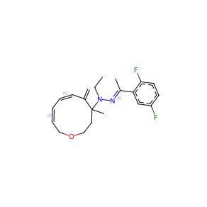 C=C1/C=C\C=C/COCCC1(C)N(CC)/N=C(\C)c1cc(F)ccc1F